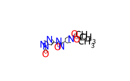 CC(C)(C)OC(=O)N1CCC(c2noc(-c3cnc4cnn(C5COC5)c4c3)n2)CC1